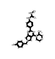 CCNC(=O)Nc1ccc(-c2nc3c(c(N4CCOCC4C)n2)CN(Cc2ccc(F)cc2)C3)cc1